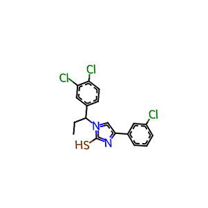 CCC(c1ccc(Cl)c(Cl)c1)n1cc(-c2cccc(Cl)c2)nc1S